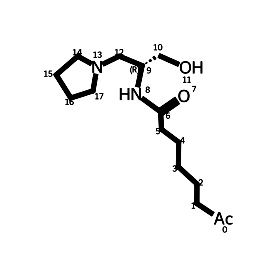 CC(=O)CCCCCC(=O)N[C@@H](CO)CN1CCCC1